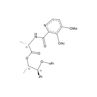 CCCO[C@@H](C(C)C)[C@H](C)OC(=O)[C@H](C)NC(=O)c1nccc(OC)c1OC(C)=O